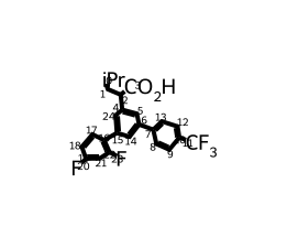 CC(C)CC(C(=O)O)c1cc(-c2ccc(C(F)(F)F)cc2)cc(-c2ccc(F)cc2F)c1